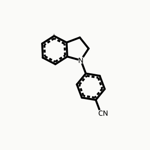 N#Cc1ccc(N2CCc3[c]cccc32)cc1